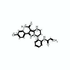 C=CC(=O)Nc1ccccc1[C@@H]1CCNc2c(C(N)=O)c(-c3ccc(Cl)cc3)nn21